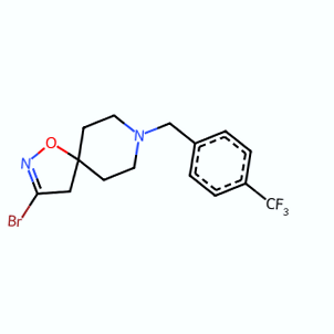 FC(F)(F)c1ccc(CN2CCC3(CC2)CC(Br)=NO3)cc1